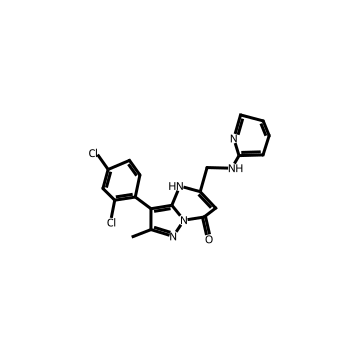 Cc1nn2c(=O)cc(CNc3ccccn3)[nH]c2c1-c1ccc(Cl)cc1Cl